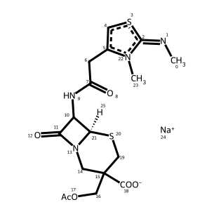 CN=c1scc(CC(=O)NC2C(=O)N3CC(COC(C)=O)(C(=O)[O-])CS[C@H]23)n1C.[Na+]